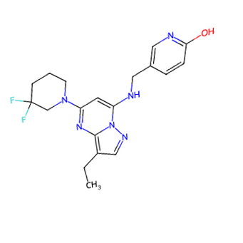 CCc1cnn2c(NCc3ccc(O)nc3)cc(N3CCCC(F)(F)C3)nc12